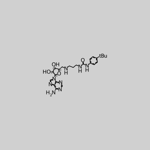 CC(C)(C)c1ccc(NC(=O)NCCCNC[C@H]2O[C@@H](n3cnc4c(N)ncnc43)[C@H](O)[C@@H]2O)cc1